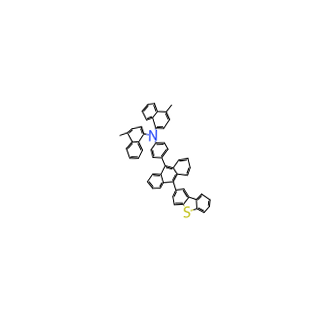 Cc1ccc(N(c2ccc(-c3c4ccccc4c(-c4ccc5sc6ccccc6c5c4)c4ccccc34)cc2)c2ccc(C)c3ccccc23)c2ccccc12